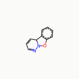 C1=CC2c3ccccc3ON2N=C1